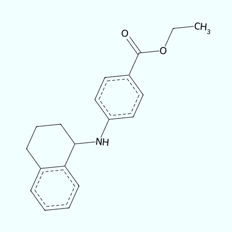 CCOC(=O)c1ccc(NC2CCCc3ccccc32)cc1